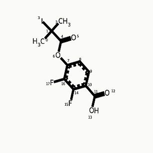 CC(C)(I)C(=O)Oc1ccc(C(=O)O)c(F)c1F